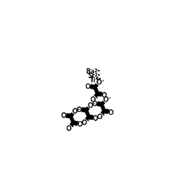 O=C([O-])C(=O)[O-].O=C([O-])C(=O)[O-].O=C([O-])C(=O)[O-].O=C([O-])C(=O)[O-].[Ba+2].[Sr+2].[Ti+4]